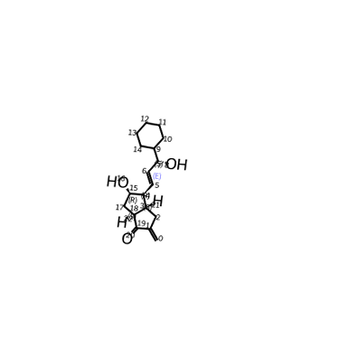 C=C1C[C@H]2[C@H](/C=C/[C@@H](O)C3CCCCC3)[C@H](O)C[C@@H]2C1=O